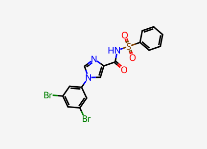 O=C(NS(=O)(=O)c1ccccc1)c1cn(-c2cc(Br)cc(Br)c2)cn1